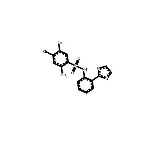 Cc1cc(S(=O)(=O)Nc2ccccc2-c2ncco2)c(C)cc1Cl